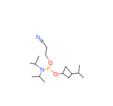 CC(C)C1CC(OP(OCCC#N)N(C(C)C)C(C)C)C1